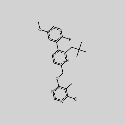 COc1ccc(F)c(-c2ccc(COc3ncnc(Cl)c3C)nc2CC(C)(C)C)c1